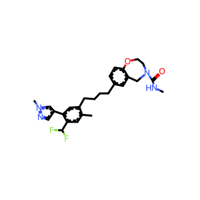 CNC(=O)N1CCOc2ccc(CCCCc3cc(-c4cnn(C)c4)c(C(F)F)cc3C)cc2C1